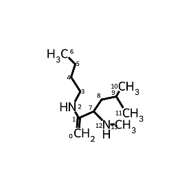 C=C(NCCCC)C(CC(C)C)NC